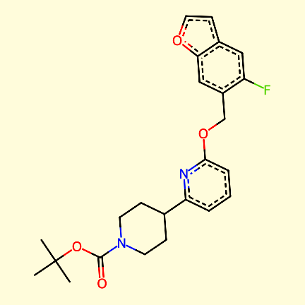 CC(C)(C)OC(=O)N1CCC(c2cccc(OCc3cc4occc4cc3F)n2)CC1